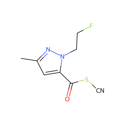 Cc1cc(C(=O)SC#N)n(CCF)n1